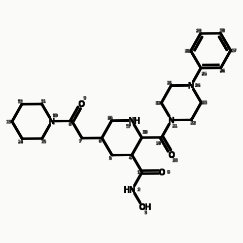 O=C(NO)C1CC(CC(=O)N2CCCCC2)CNC1C(=O)N1CCN(c2ccccc2)CC1